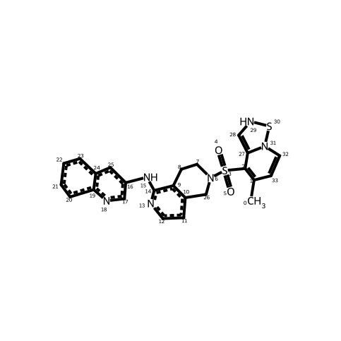 CC1=C(S(=O)(=O)N2CCc3c(ccnc3Nc3cnc4ccccc4c3)C2)C2=CNSN2C=C1